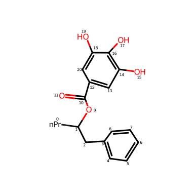 CCCC(Cc1ccccc1)OC(=O)c1cc(O)c(O)c(O)c1